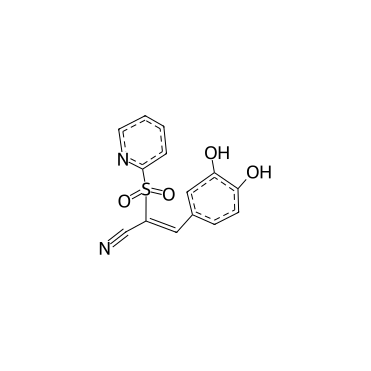 N#CC(=Cc1ccc(O)c(O)c1)S(=O)(=O)c1ccccn1